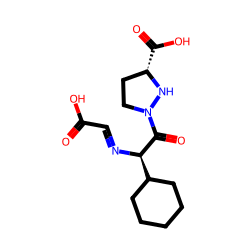 O=C(O)C=N[C@@H](C(=O)N1CC[C@H](C(=O)O)N1)C1CCCCC1